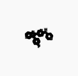 Fc1ccc(-n2c(-c3ccc(NC4CCOCC4)nc3)nc3ccncc32)cc1